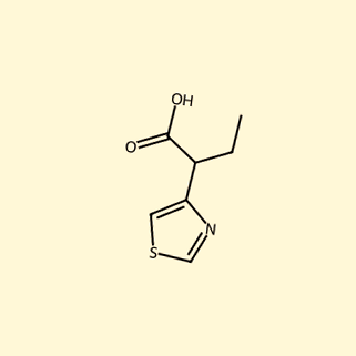 CCC(C(=O)O)c1cscn1